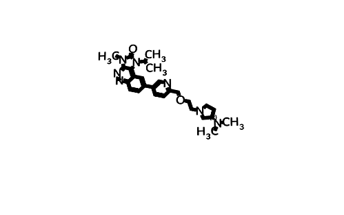 CC(C)n1c(=O)n(C)c2nnc3ccc(-c4ccc(COCCN5CC[C@@H](N(C)C)C5)nc4)cc3c21